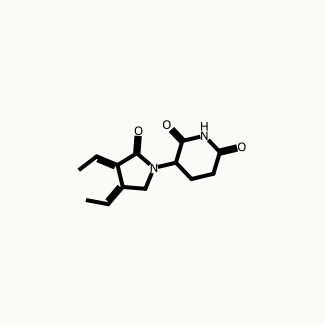 C/C=C1/CN(C2CCC(=O)NC2=O)C(=O)/C1=C/C